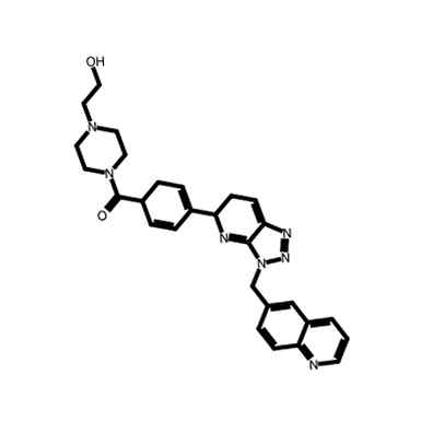 O=C(C1C=CC(C2CC=c3nnn(Cc4ccc5ncccc5c4)c3=N2)=CC1)N1CCN(CCO)CC1